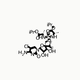 CC(C)OC(=O)[C@H](C)NP(=O)(N[C@@H](C)C(=O)OC(C)C)OC[C@@]1(C(F)F)O[C@@H](n2cc(Cl)c(N)nc2=O)[C@@H](O)[C@@H]1O